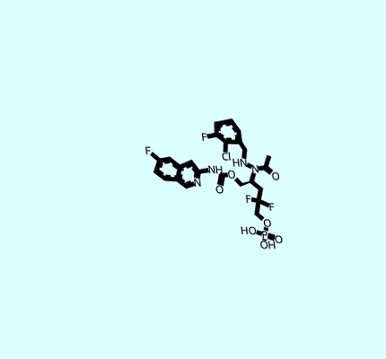 CC(=O)N(NCc1cccc(F)c1Cl)[C@H](COC(=O)Nc1cc2cc(F)ccc2cn1)CC(F)(F)COP(=O)(O)O